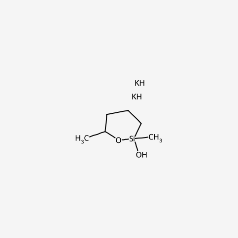 CC1CCC[Si](C)(O)O1.[KH].[KH]